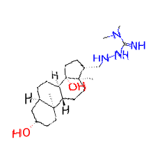 CN(C)C(=N)NNC[C@H]1CC[C@]2(O)[C@@H]3CC[C@@H]4C[C@@H](O)CC[C@]4(C)[C@H]3CC[C@]12C